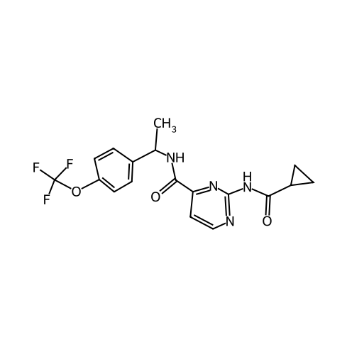 CC(NC(=O)c1ccnc(NC(=O)C2CC2)n1)c1ccc(OC(F)(F)F)cc1